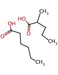 CCCC(C)C(=O)O.CCCCCC(=O)O